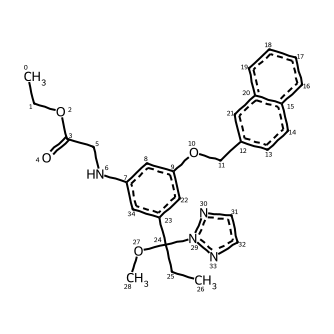 CCOC(=O)CNc1cc(OCc2ccc3ccccc3c2)cc(C(CC)(OC)n2nccn2)c1